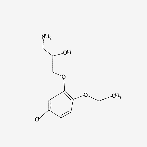 CCOc1ccc(Cl)cc1OCC(O)CN